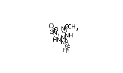 COc1cc(Nc2nc(NC3CCN(S(=O)(=O)c4ccccc4)CC3)nc(OCC(F)(F)F)n2)ccn1